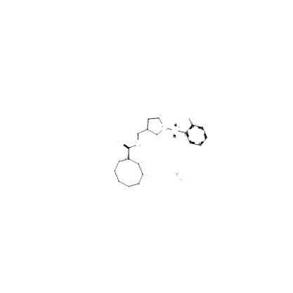 O=C(NCC1CCN(S(=O)(=O)c2ccccc2Cl)C1)[C]1CCCCCCC1.[CH2].[CH2]